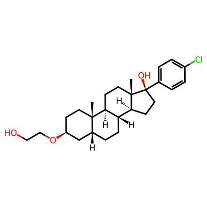 C[C@]12CC[C@H](OCCO)C[C@H]1CC[C@@H]1[C@@H]2CC[C@@]2(C)[C@H]1CC[C@@]2(O)c1ccc(Cl)cc1